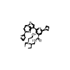 CCC(CNC(=O)c1cc(-c2cnn3ccc(-c4cccs4)nc23)nc(N2CCC2)c1)N(CC)CCO